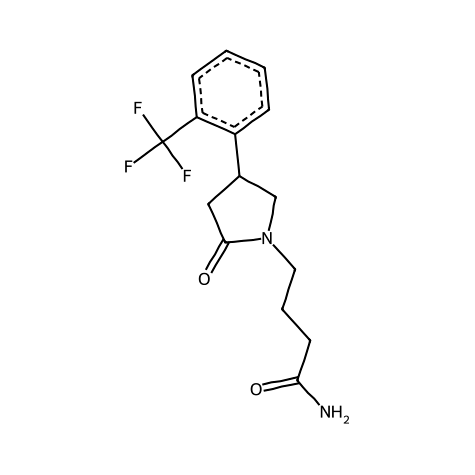 NC(=O)CCCN1CC(c2ccccc2C(F)(F)F)CC1=O